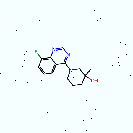 CC1(O)CCCN(c2ncnc3c(F)cccc23)C1